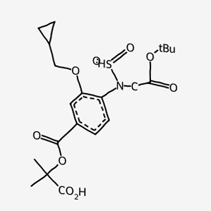 CC(C)(C)OC(=O)CN(c1ccc(C(=O)OC(C)(C)C(=O)O)cc1OCC1CC1)[SH](=O)=O